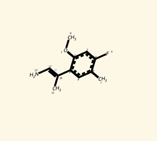 COc1cc(F)c(C)cc1/C(C)=C/N